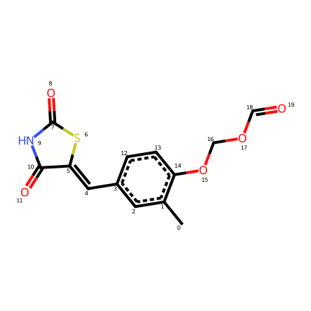 Cc1cc(/C=C2\SC(=O)NC2=O)ccc1OCOC=O